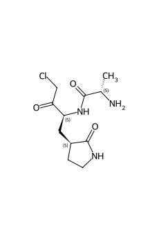 C[C@H](N)C(=O)N[C@@H](C[C@@H]1CCNC1=O)C(=O)CCl